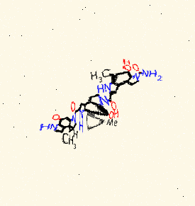 COc1c(O)c2c(c3cc(C(=O)N4C[C@H]5CC56C4=CC(=O)c4[nH]cc(C)c46)[nH]c13)CCN2C(=O)c1cc2c3c(c(O)c(C)c2[nH]1)N(C(N)=O)CC3